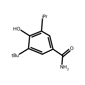 CC(C)c1cc(C(N)=O)cc(C(C)(C)C)c1O